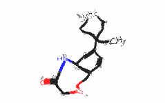 CCC(C)(CC)c1ccc2c(c1)NC(=O)CO2